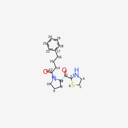 O=C(C1NCCS1)[C@@H]1CCCN1C(=O)CCCc1ccccc1